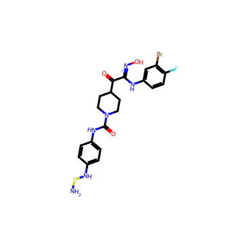 NSNc1ccc(NC(=O)N2CCC(C(=O)/C(=N/O)Nc3ccc(F)c(Br)c3)CC2)cc1